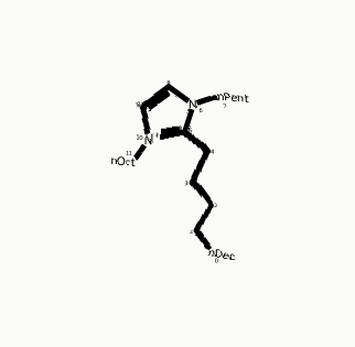 CCCCCCCCCCCCCCc1n(CCCCC)cc[n+]1CCCCCCCC